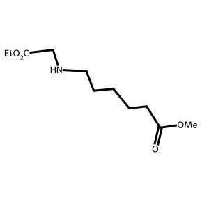 CCOC(=O)CNCCCCCC(=O)OC